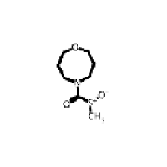 C[S+]([O-])C(=O)N1CCCOCCC1